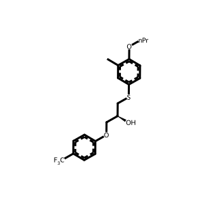 CCCOc1ccc(SC[C@@H](O)COc2ccc(C(F)(F)F)cc2)cc1C